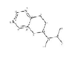 CC(C)C(C)C1CCc2ncncc2C1